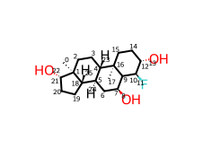 C[C@]12CC[C@H]3[C@@H](C[C@H](O)C4[C@H](F)[C@@H](O)CC[C@@]43C)[C@@H]1CC[C@@H]2O